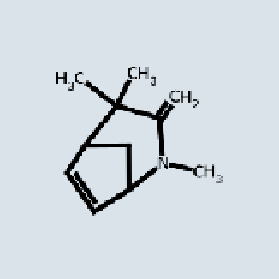 C=C1N(C)C2C=CC(C2)C1(C)C